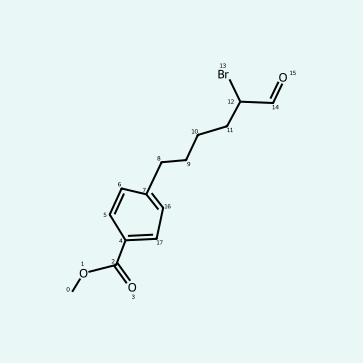 COC(=O)c1ccc(CCCCC(Br)C=O)cc1